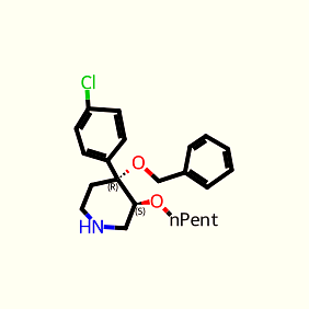 CCCCCO[C@H]1CNCC[C@@]1(OCc1ccccc1)c1ccc(Cl)cc1